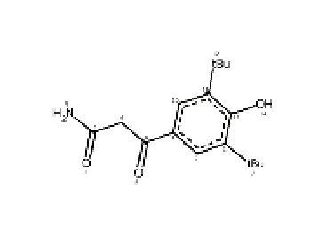 CC(C)(C)c1cc(C(=O)CC(N)=O)cc(C(C)(C)C)c1O